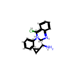 NC(C1CC1)[C@H]1N=c2ccccc2=C(Cl)N1c1ccccc1